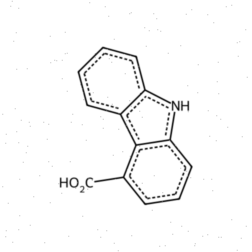 O=C(O)c1cccc2[nH]c3ccccc3c12